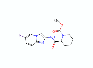 CC(C)(C)OC(=O)N1CCCC[C@H]1C(=O)Nc1cn2cc(I)ccc2n1